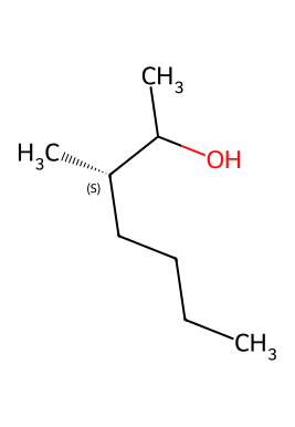 CCCC[C@H](C)C(C)O